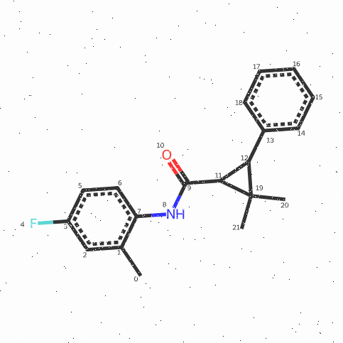 Cc1cc(F)ccc1NC(=O)C1C(c2ccccc2)C1(C)C